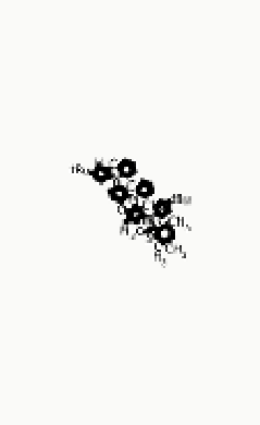 Cc1ccccc1N(c1ccc(C(C)(C)C)cc1)c1ccc(C)c(N(c2ccccc2C)c2cc(I)cc(N(c3ccc(C(C)(C)C)cc3)c3c(C)sc4c3C(C)(C)CCC4(C)C)c2C)c1